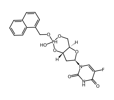 O=c1[nH]c(=O)n([C@H]2C[C@@H]3O[PH](O)(OCc4cccc5ccccc45)OC[C@H]3O2)cc1F